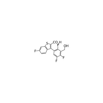 O=C(O)c1sc2cc(F)ccc2c1-c1cc(F)c(F)c(CO)c1F